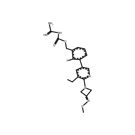 CCc1cc(-c2cccc(COC(=O)NC(=N)N)c2F)cnc1N1CC(=NOC)C1